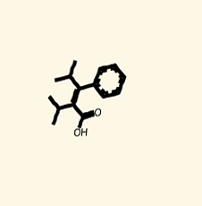 CC(C)C(C(=O)O)=C(c1ccccc1)C(C)C